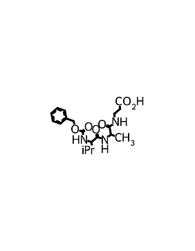 CC(NC(=O)C(NC(=O)OCc1ccccc1)C(C)C)C(=O)NCCC(=O)O